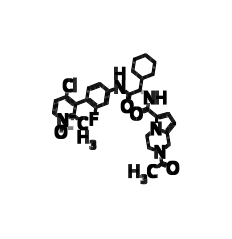 CC(=O)N1CCn2c(ccc2C(=O)N[C@H](C(=O)Nc2ccc(-c3c(Cl)cc[n+]([O-])c3C)c(F)c2)C2CCCCC2)C1